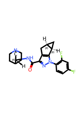 O=C(N[C@H]1CN2CCC1CC2)c1nn(-c2ccc(F)cc2F)c2c1C[C@H]1C[C@@H]21